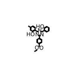 CCOC(=O)c1ccc(-c2nc(-c3ccccc3O)nc(-c3ccc(C)cc3O)n2)cc1